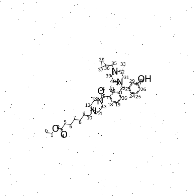 CCOC(=O)CCCCCCN1CCN(C(=O)c2cccc(C(c3cccc(O)c3)N3C[C@@H](C)N(CC4CC4)C[C@H]3C)c2)CC1